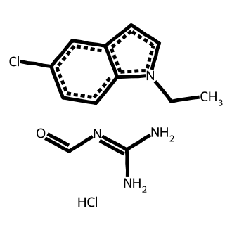 CCn1ccc2cc(Cl)ccc21.Cl.NC(N)=NC=O